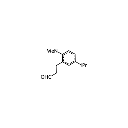 CNc1ccc(C(C)C)cc1CCC=O